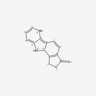 O=C1OCC2=C1C=CC1=C3NC=CC=C3NC12